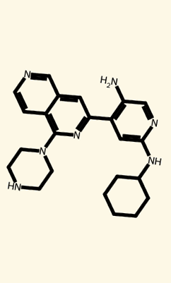 Nc1cnc(NC2CCCCC2)cc1-c1cc2cnccc2c(N2CCNCC2)n1